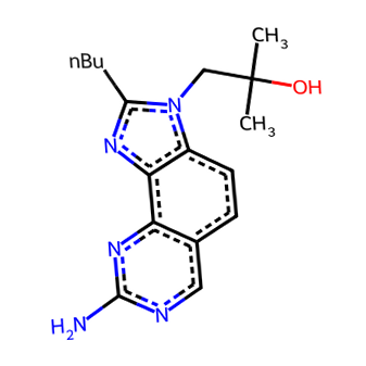 CCCCc1nc2c3nc(N)ncc3ccc2n1CC(C)(C)O